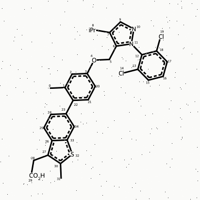 Cc1cc(OCc2c(C(C)C)cnn2-c2c(Cl)cccc2Cl)ccc1-c1ccc2c(CC(=O)O)c(C)sc2c1